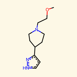 COCCN1CCC(c2cc[nH]n2)CC1